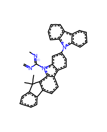 C=N/C(=N\C)n1c2cc(-n3c4ccccc4c4ccccc43)ccc2c2ccc3c(c21)C(C)(C)c1ccccc1-3